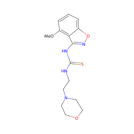 COc1cccc2onc(NC(=S)NCCN3CCOCC3)c12